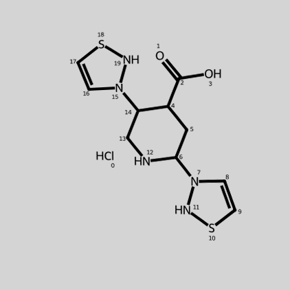 Cl.O=C(O)C1CC(N2C=CSN2)NCC1N1C=CSN1